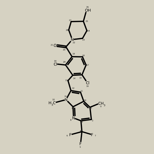 Cc1cc(C(F)(F)F)nc2c1cc(Cc1c(Cl)ccc(C(=O)N3CCC(O)CC3)c1Cl)n2C